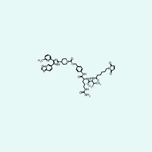 Cc1cccc(-c2nc(C3CCN(C(=O)OCc4ccc(NC(=O)C(CCCNC(N)=O)NC(=O)C(NC(=O)CCCCCN5C(=O)C=CC5=O)C(C)C)cc4)CC3)[nH]c2-c2ccc3ncnn3c2)n1